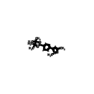 Cc1cc(-c2ccc(B3OC(C)(C)C(C)(C)O3)cc2)n(C)n1